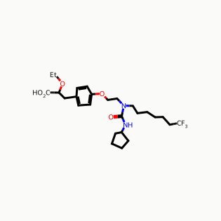 CCOC(Cc1ccc(OCCN(CCCCCCC(F)(F)F)C(=O)NC2CCCC2)cc1)C(=O)O